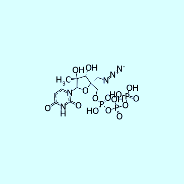 C[C@]1(O)C(n2ccc(=O)[nH]c2=O)O[C@](CN=[N+]=[N-])(COP(=O)(O)OP(=O)(O)OP(=O)(O)O)[C@H]1O